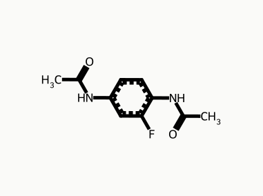 CC(=O)Nc1ccc(NC(C)=O)c(F)c1